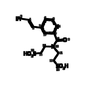 CC(C)/C=C/c1ccnc(C(=O)N(CCS(=O)(=O)O)CCS(=O)(=O)O)c1